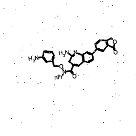 CCCN(OCc1cccc(N)c1)C(=O)C1=Cc2ccc(-c3ccc4c(c3)C(=O)OC4)cc2N=C(N)C1